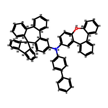 c1ccc(-c2ccc(N(c3ccc4c(c3)-c3ccccc3-c3ccccc3O4)c3ccc4c(c3)-c3ccccc3-c3ccccc3C43c4ccccc4-c4ccccc43)cc2)cc1